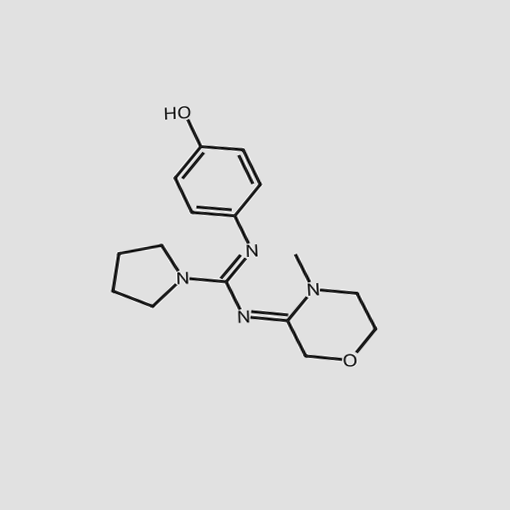 CN1CCOCC1=NC(=Nc1ccc(O)cc1)N1CCCC1